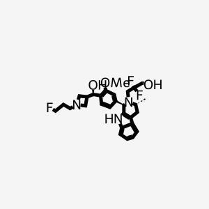 COc1cc([C@@H]2c3[nH]c4ccccc4c3C[C@@H](C)N2CC(F)(F)CO)ccc1[C@H](O)C1CN(CCCF)C1